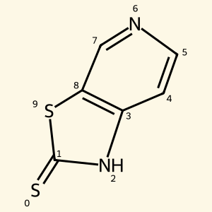 S=c1[nH]c2ccncc2s1